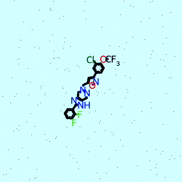 Fc1cccc(-c2nc3c([nH]2)C=NN(Cc2cc(-c4ccc(OC(F)(F)F)c(Cl)c4)no2)C3)c1F